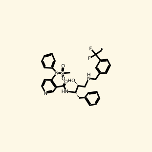 CS(=O)(=O)N(c1ccccc1)c1ccncc1C(=O)N[C@@H](Cc1ccccc1)[C@H](O)CNCc1cccc(C(F)(F)F)c1